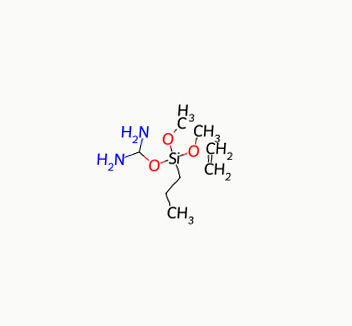 C=C.CCC[Si](OC)(OC)OC(N)N